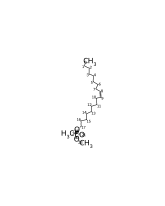 CCCCCCCC/C=C\CCCCCCCCOP(C)(=O)OC